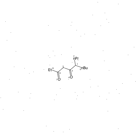 CCCCC(CCC)C(=O)CC(=O)CC